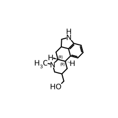 CN1CC(CO)C[C@@H]2c3cccc4c3C(CN4)C[C@H]21